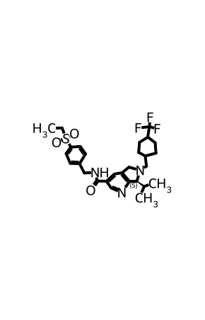 CCS(=O)(=O)c1ccc(CNC(=O)c2cnc3c(c2)CN(CC2CCC(C(F)(F)F)CC2)[C@H]3C(C)C)cc1